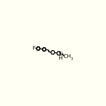 CCC[SiH]1CCC(C2CCC(/C=C/c3ccc(-c4ccc(F)cc4)cc3)CC2)CC1